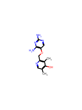 Cc1cnc(COc2cnc(N)nc2N)c(C)c1O